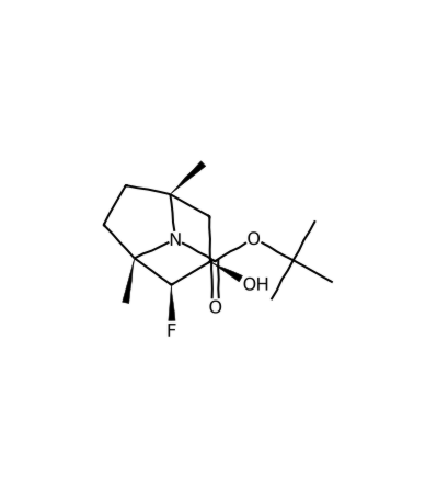 CC(C)(C)OC(=O)N1[C@]2(C)CC[C@@]1(C)[C@H](F)[C@H](O)C2